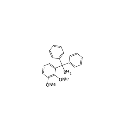 BC(c1ccccc1)(c1ccccc1)c1cccc(OC)c1OC